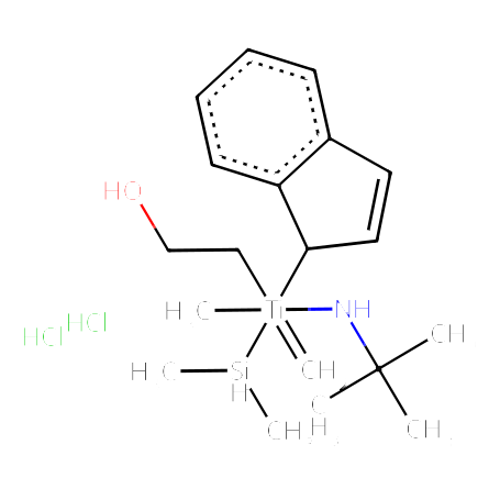 Cl.Cl.[CH2]=[Ti]([CH3])([CH2]CO)([NH]C(C)(C)C)([CH]1C=Cc2ccccc21)[SiH](C)C